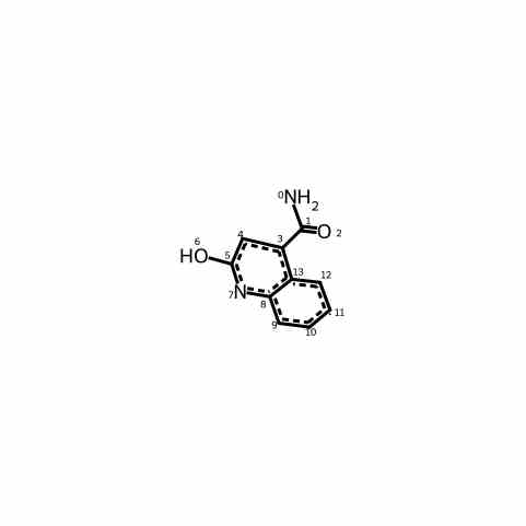 NC(=O)c1cc(O)nc2cc[c]cc12